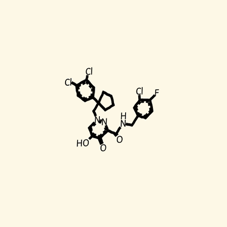 O=C(NCc1ccc(F)c(Cl)c1)c1nn(CC2(c3ccc(Cl)c(Cl)c3)CCCC2)cc(O)c1=O